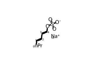 CCCC=CC=COS(=O)(=O)[O-].[Na+]